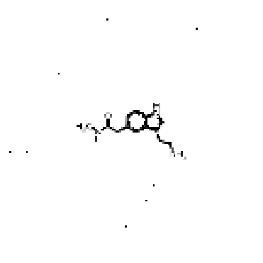 CNC(=O)Cc1ccc2[nH]cc(CCN)c2c1